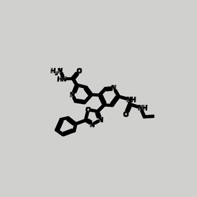 CCNC(=O)Nc1cc(-c2nnc(-c3ccccc3)o2)c(-c2ccnc(C(=O)NN)c2)cn1